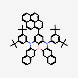 CC(C)(C)c1cc(N2c3cc4ccccc4cc3B3c4cc5ccccc5cc4N(c4cc(C(C)(C)C)cc(C(C)(C)C)c4)c4cc(-c5ccc6ccc7cccc8ccc5c6c78)cc2c43)cc(C(C)(C)C)c1